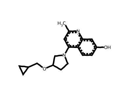 Cc1cc(N2CCC(OCC3CC3)C2)c2ccc(O)cc2n1